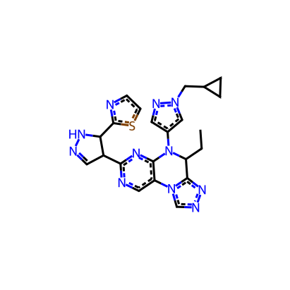 CCC1c2nncn2-c2cnc(C3C=NNC3c3nccs3)nc2N1c1cnn(CC2CC2)c1